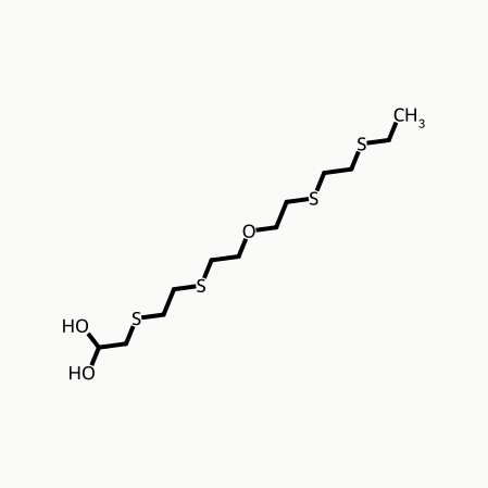 CCSCCSCCOCCSCCSCC(O)O